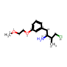 COCCOc1cccc(CC(N)C(C)CCl)c1